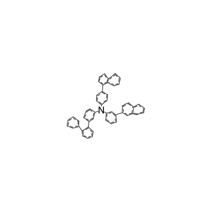 c1ccc(-c2ccccc2-c2cccc(N(c3ccc(-c4cccc5ccccc45)cc3)c3cccc(-c4ccc5ccccc5c4)c3)c2)cc1